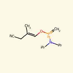 C=[PH](O/C=C(\C)CC#N)N(C(C)C)C(C)C